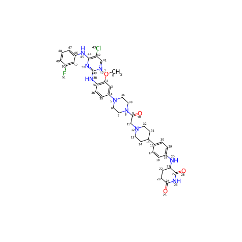 COc1cc(N2CCN(C(=O)CN3CCC(c4ccc(NC5CCC(=O)NC5=O)cc4)CC3)CC2)ccc1Nc1ncc(Cl)c(Nc2cccc(F)c2)n1